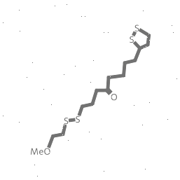 COCCSSCCCC(=O)CCCCC1CCSS1